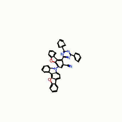 N#Cc1cc(-n2c3ccccc3c3c4oc5ccccc5c4ccc32)c2oc3ccccc3c2c1-c1nc(-c2ccccc2)nc(-c2ccccc2)n1